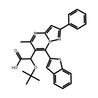 Cc1nc2cc(-c3ccccc3)nn2c(-c2cc3ccccc3s2)c1C(OC(C)(C)C)C(=O)O